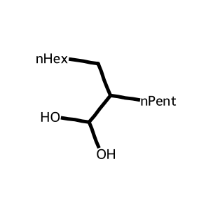 CCCCCCCC(CCCCC)C(O)O